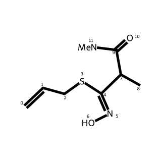 C=CCSC(=NO)C(C)C(=O)NC